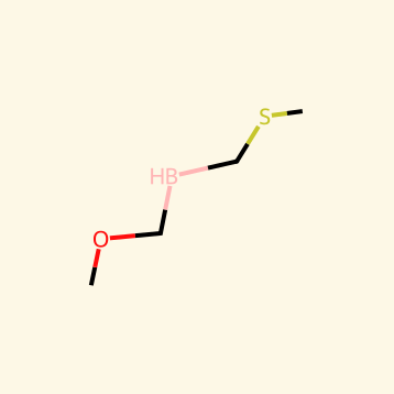 COCBCSC